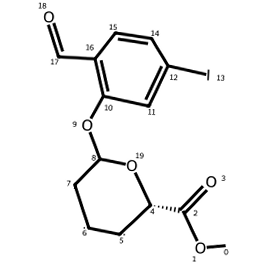 COC(=O)[C@@H]1[CH][CH][CH]C(Oc2cc(I)ccc2C=O)O1